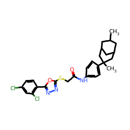 CC1CC2CC(C1)CC(C)(c1ccc(NC(=O)CSc3nnc(-c4ccc(Cl)cc4Cl)o3)cc1)C2